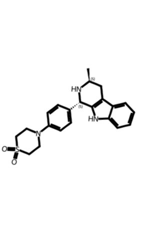 C[C@H]1Cc2c([nH]c3ccccc23)[C@H](c2ccc(N3CCS(=O)(=O)CC3)cc2)N1